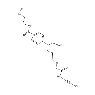 CSSC(OCCOCC(=O)NC#CC(C)C)c1ccc(C(=O)NCCNC(C)C)cc1